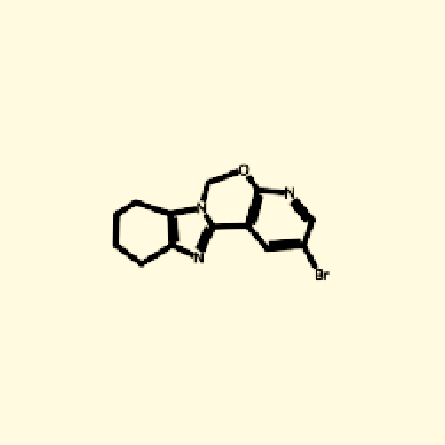 Brc1cnc2c(c1)-c1nc3c(n1CO2)CCCC3